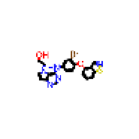 OCCn1ccc2ncnc(Nc3ccc(Oc4cccc5sncc45)c(Br)c3)c21